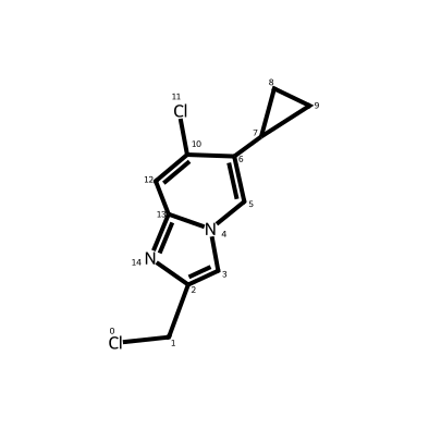 ClCc1cn2cc(C3CC3)c(Cl)cc2n1